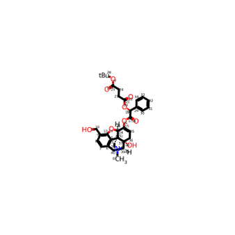 CN1CC[C@]23c4c5ccc(CO)c4O[C@H]2C(OC(=O)[C@@H](OC(=O)CCC(=O)OC(C)(C)C)c2ccccc2)=CC[C@@]3(O)[C@H]1C5